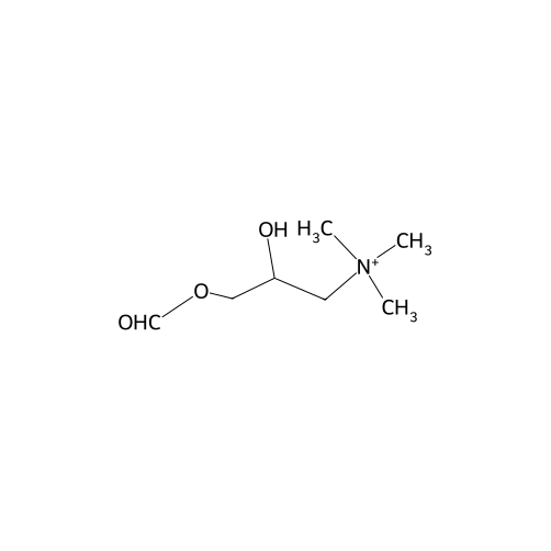 C[N+](C)(C)CC(O)COC=O